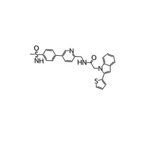 CS(=N)(=O)c1ccc(-c2ccc(CNC(=O)Cn3c(-c4cccs4)cc4ccccc43)nc2)cc1